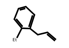 [CH2]Cc1ccccc1CC=C